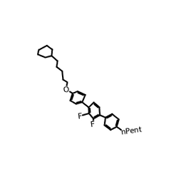 CCCCCc1ccc(-c2ccc(-c3ccc(OCCCCCC4CCCCC4)cc3)c(F)c2F)cc1